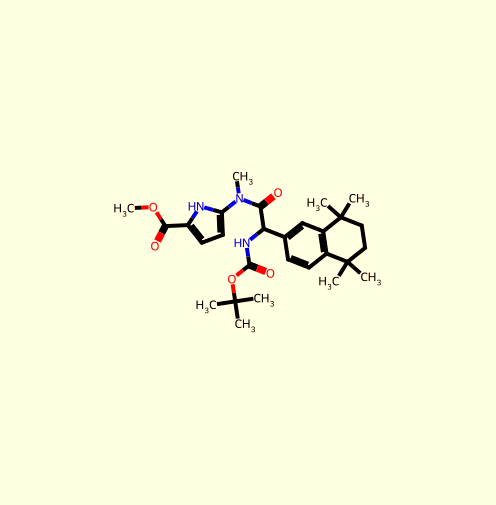 COC(=O)c1ccc(N(C)C(=O)C(NC(=O)OC(C)(C)C)c2ccc3c(c2)C(C)(C)CCC3(C)C)[nH]1